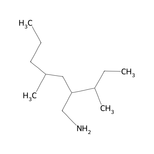 CCCC(C)CC(CN)C(C)CC